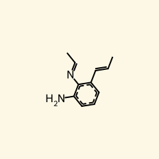 CC=Cc1cccc(N)c1N=CC